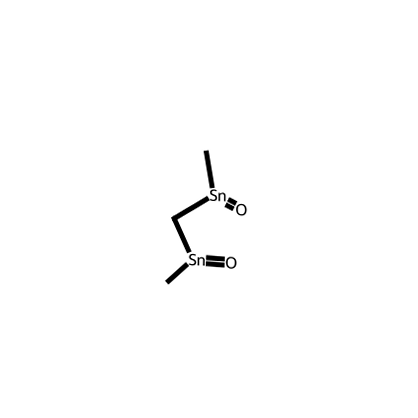 [CH3][Sn](=[O])[CH2][Sn]([CH3])=[O]